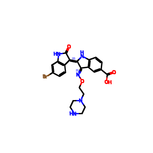 O=C1Nc2cc(Br)ccc2/C1=C1/Nc2ccc(C(=O)O)cc2/C1=N\OCCN1CCNCC1